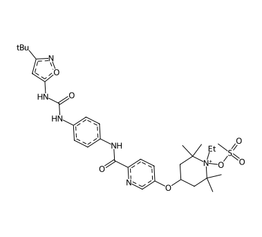 CC[N+]1(OS(C)(=O)=O)C(C)(C)CC(Oc2ccc(C(=O)Nc3ccc(NC(=O)Nc4cc(C(C)(C)C)no4)cc3)nc2)CC1(C)C